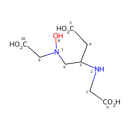 O=C(O)CNC(CC(=O)O)CN(O)CC(=O)O